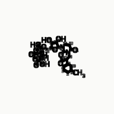 Cc1ccc2onc(Cn3c(=O)ccn([C@@H]4O[C@H](COP(=O)(O)OP(=O)(O)OP(=O)(O)O)[C@H](O)[C@@H]4O)c3=O)c2c1